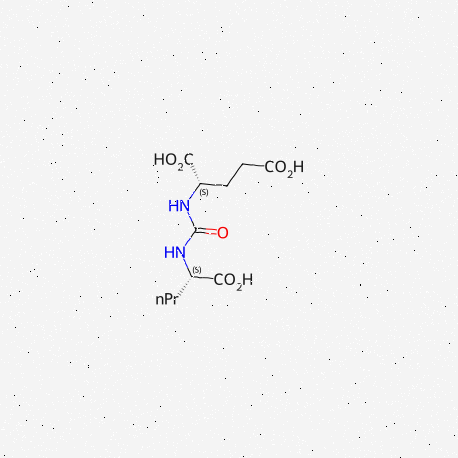 CCC[C@H](NC(=O)N[C@@H](CCC(=O)O)C(=O)O)C(=O)O